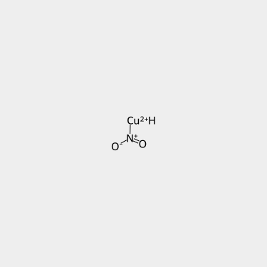 O=[N+]([O-])[CuH+2]